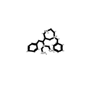 CCN(CC)C(Cc1ccccc1)C1CNCCN(Cc2ccccc2)C1